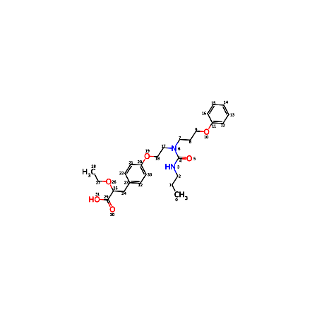 CCCNC(=O)N(CCCOc1ccccc1)CCOc1ccc(CC(OCC)C(=O)O)cc1